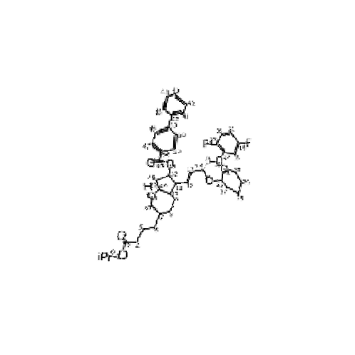 CC(C)OC(=O)CCCC1CCC2C(/C=C/[C@H](COc3cc(F)ccc3F)OC3CCCCO3)C(OC(=O)c3ccc(-c4ccccc4)cc3)C[C@@H]2OC1